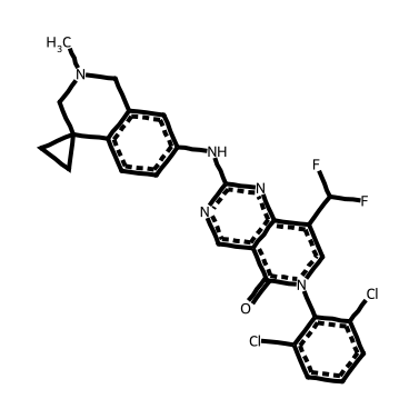 CN1Cc2cc(Nc3ncc4c(=O)n(-c5c(Cl)cccc5Cl)cc(C(F)F)c4n3)ccc2C2(CC2)C1